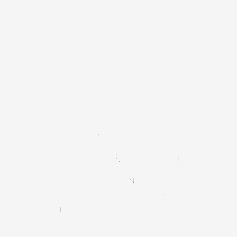 O=C(O)/C(Cl)=N\Nc1cc(F)ccc1OC/C=C/c1ccccc1